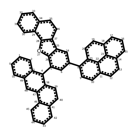 c1ccc2c(-c3cc(-c4ccc5ccc6cccc7ccc4c5c67)cc4c3oc3c5ccccc5ccc43)c3ccc4ccccc4c3cc2c1